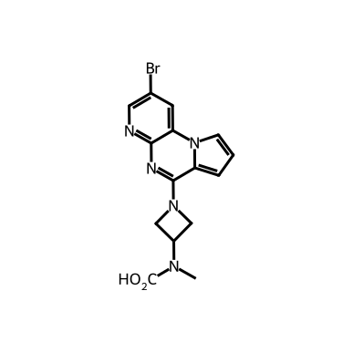 CN(C(=O)O)C1CN(c2nc3ncc(Br)cc3n3cccc23)C1